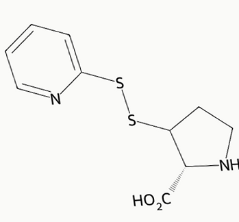 O=C(O)[C@H]1NCCC1SSc1ccccn1